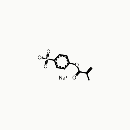 C=C(C)C(=O)Oc1ccc(S(=O)(=O)[O-])cc1.[Na+]